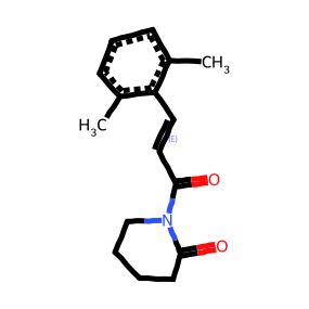 Cc1cccc(C)c1/C=C/C(=O)N1CCCCC1=O